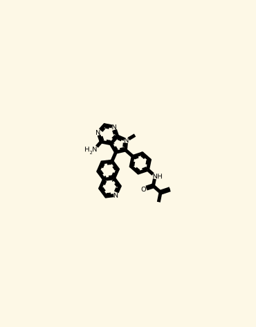 C=C(C)C(=O)Nc1ccc(-c2c(-c3ccc4ccncc4c3)c3c(N)ncnc3n2C)cc1